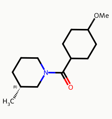 COC1CCC(C(=O)N2CCC[C@@H](C)C2)CC1